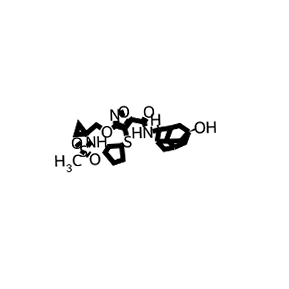 CS(=O)(=O)NC1(COc2noc(C(=O)N[C@H]3C4CC5CC3C[C@](O)(C5)C4)c2SC2CCCC2)CC1